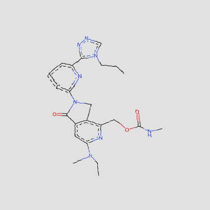 CCCn1cnnc1-c1cccc(N2Cc3c(cc(N(C)CC)nc3COC(=O)NC)C2=O)n1